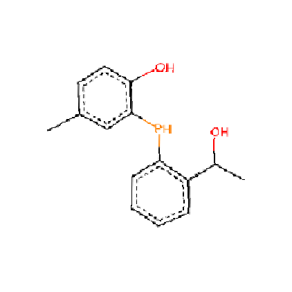 Cc1ccc(O)c(Pc2ccccc2C(C)O)c1